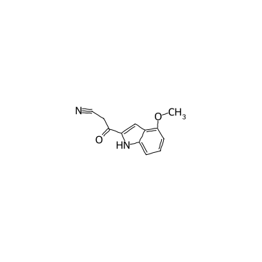 COc1cccc2[nH]c(C(=O)CC#N)cc12